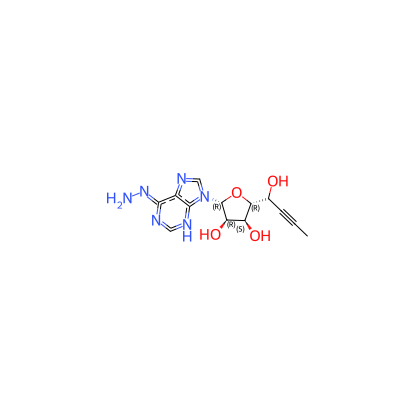 CC#CC(O)[C@H]1O[C@@H](n2cnc3c(=NN)nc[nH]c32)[C@H](O)[C@@H]1O